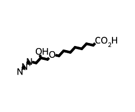 [N-]=[N+]=NCC(O)COCCCCCCCC(=O)O